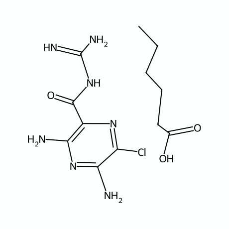 CCCCCC(=O)O.N=C(N)NC(=O)c1nc(Cl)c(N)nc1N